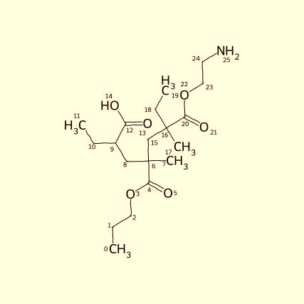 CCCOC(=O)C(C)(CC(CC)C(=O)O)CC(C)(CC)C(=O)OCCN